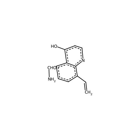 C=Cc1cccc2c(O)ccnc12.NC=O